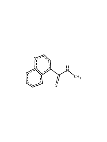 CNC(=S)c1ccnc2ccccc12